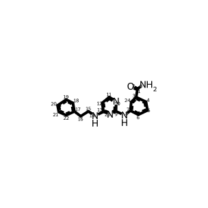 NC(=O)c1cccc(Nc2nccc(NCCc3ccccc3)n2)c1